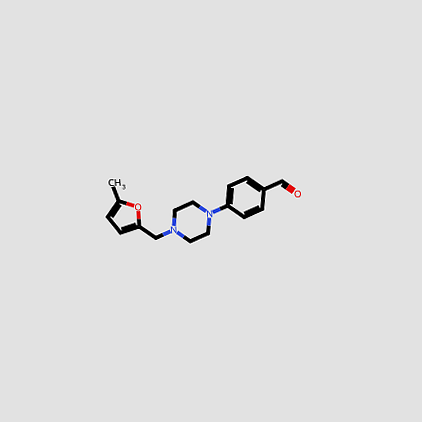 Cc1ccc(CN2CCN(c3ccc(C=O)cc3)CC2)o1